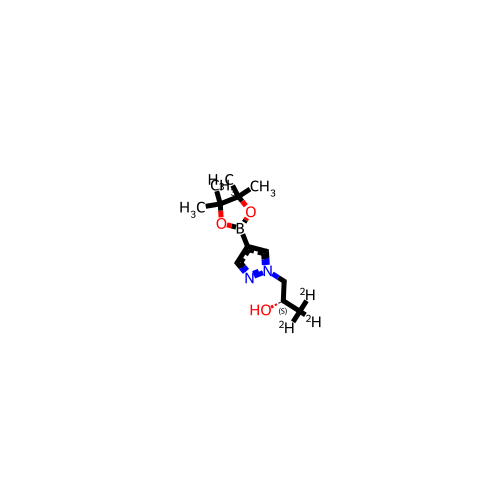 [2H]C([2H])([2H])[C@H](O)Cn1cc(B2OC(C)(C)C(C)(C)O2)cn1